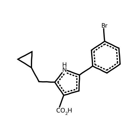 O=C(O)c1cc(-c2cccc(Br)c2)[nH]c1CC1CC1